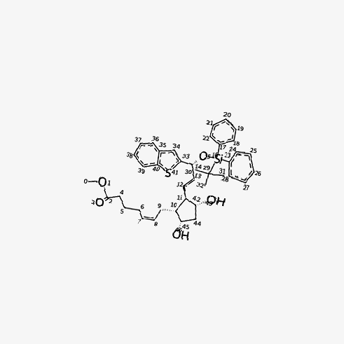 COC(=O)CCC/C=C\C[C@@H]1[C@@H](/C=C/[C@@H](O[Si](c2ccccc2)(c2ccccc2)C(C)(C)C)c2cc3ccccc3s2)[C@H](O)C[C@@H]1O